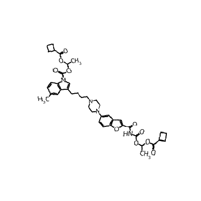 Cc1ccc2c(c1)c(CCCCN1CCN(c3ccc4oc(C(=O)NC(=O)OC(C)OC(=O)C5CCC5)cc4c3)CC1)cn2C(=O)OC(C)OC(=O)C1CCC1